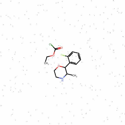 CC1NCCOC1c1ccccc1F.CCOC(=O)Cl